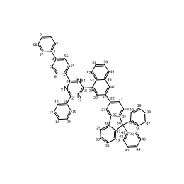 c1ccc(-c2ccc(-c3nc(-c4ccccc4)nc(-c4cc(-c5ccc6c(c5)-c5ccccc5C6(c5ccccc5)c5ccccc5)cc5ccccc45)n3)cc2)cc1